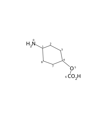 NC1CCC(OC(=O)O)CC1